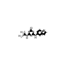 CC(C)Nc1nc(Cl)nc(Nc2ccn3nccc3c2)n1